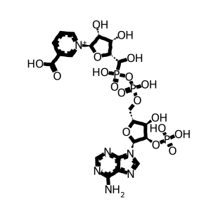 Nc1ncnc2c1ncn2[C@@H]1O[C@H](COP(=O)(O)OP(=O)(O)C(O)[C@@H]2O[C@@H]([n+]3cccc(C(=O)O)c3)[C@H](O)[C@@H]2O)[C@@H](O)[C@H]1OP(=O)(O)O